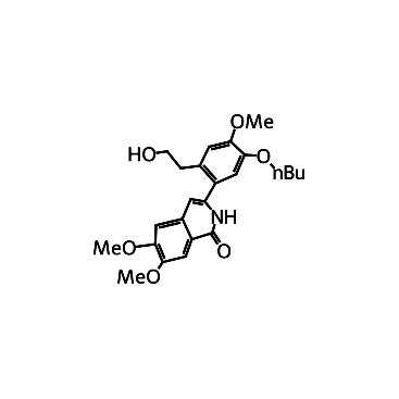 CCCCOc1cc(-c2cc3cc(OC)c(OC)cc3c(=O)[nH]2)c(CCO)cc1OC